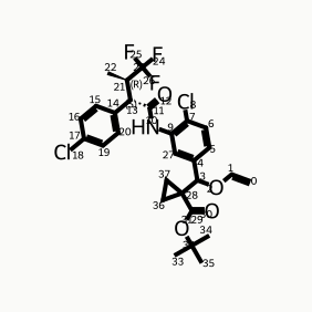 C=COC(c1ccc(Cl)c(NC(=O)[C@H](c2ccc(Cl)cc2)[C@@H](C)C(F)(F)F)c1)C1(C(=O)OC(C)(C)C)CC1